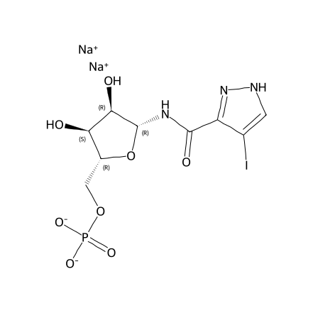 O=C(N[C@@H]1O[C@H](COP(=O)([O-])[O-])[C@@H](O)[C@H]1O)c1n[nH]cc1I.[Na+].[Na+]